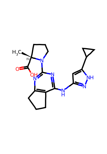 C[C@@]1(C(=O)O)CCCN1c1nc2c(c(Nc3cc(C4CC4)[nH]n3)n1)CCC2